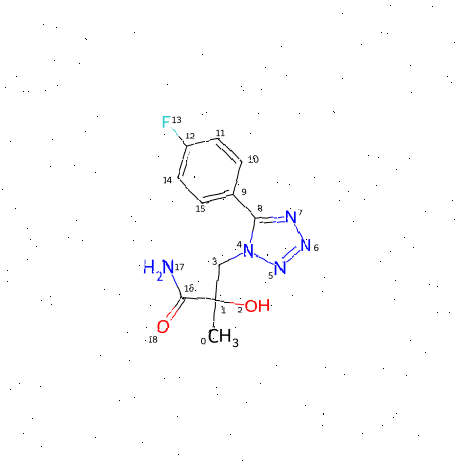 CC(O)(Cn1nnnc1-c1ccc(F)cc1)C(N)=O